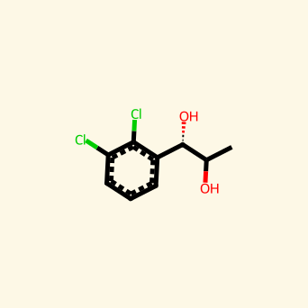 CC(O)[C@@H](O)c1cccc(Cl)c1Cl